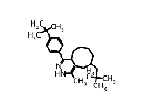 CC1=C2CC(CC(C)(C)C)CCCCC2C(c2ccc(C(C)(C)C)cc2)=NN1